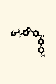 O=C(Nc1ccc2c(cnn2-c2ccc(Nc3ccc(N4CCC(O)CC4)cc3)cc2)c1)c1cccs1